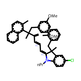 C=C(/C=C/C=C1/N(CCC)c2ccc(Cl)cc2C1(C)Cc1ccccc1C)C(C)(Cc1cc(OC)cc(OC)c1)c1c(C)ccc2ccccc12